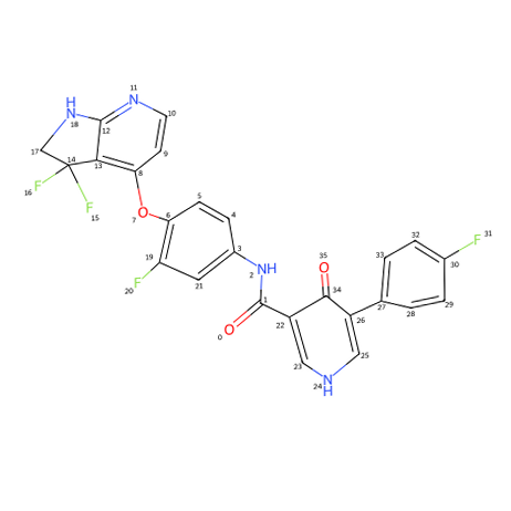 O=C(Nc1ccc(Oc2ccnc3c2C(F)(F)CN3)c(F)c1)c1c[nH]cc(-c2ccc(F)cc2)c1=O